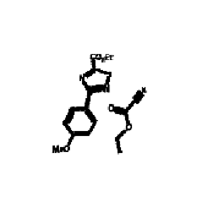 CCOC(=O)C#N.CCOC(=O)c1nc(-c2ccc(OC)cc2)ns1